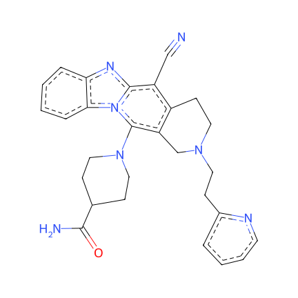 N#Cc1c2c(c(N3CCC(C(N)=O)CC3)n3c1nc1ccccc13)CN(CCc1ccccn1)CC2